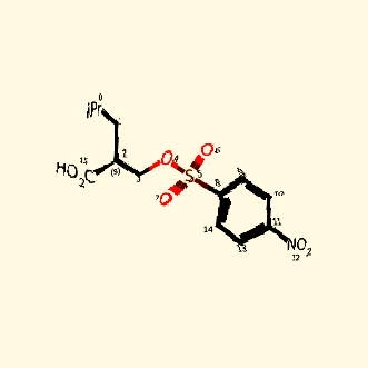 CC(C)C[C@@H](COS(=O)(=O)c1ccc([N+](=O)[O-])cc1)C(=O)O